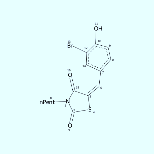 CCCCCN1C(=O)SC(=Cc2ccc(O)c(Br)c2)C1=O